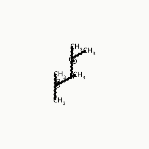 CCCCCCCCC(CCCCCC)OC(=O)CCCCCCCN(CC)CCCCCCCC(=O)OC(CCCCCC)CCCCCCCC